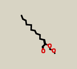 CCCCCCCCCC/C=C(\C=O)OCOC